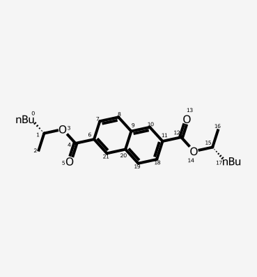 CCCC[C@@H](C)OC(=O)c1ccc2cc(C(=O)O[C@H](C)CCCC)ccc2c1